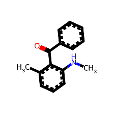 CNc1cccc(C)c1C(=O)c1ccccc1